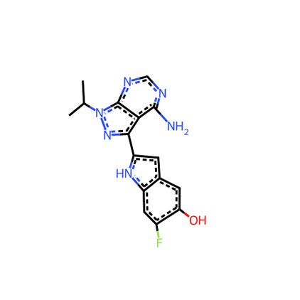 CC(C)n1nc(-c2cc3cc(O)c(F)cc3[nH]2)c2c(N)ncnc21